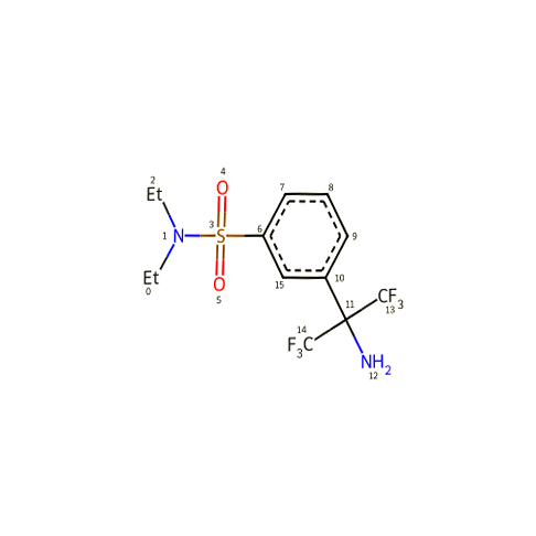 CCN(CC)S(=O)(=O)c1cccc(C(N)(C(F)(F)F)C(F)(F)F)c1